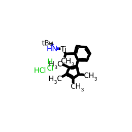 CC1=C(C)C(C)C(c2ccccc2[CH](C)[Ti][NH]C(C)(C)C)=C1C.Cl.Cl